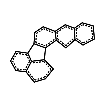 c1ccc2cc3c4c(ccc3cc2c1)-c1cccc2cccc-4c12